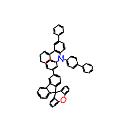 c1ccc(-c2ccc(N(c3cccc(-c4ccc5c(c4)-c4ccccc4C54c5ccccc5Oc5ccccc54)c3)c3ccc(-c4ccccc4)cc3-c3ccccc3)cc2)cc1